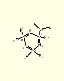 CN(C)P1(F)=NP(F)(F)=NP(F)(F)=N1